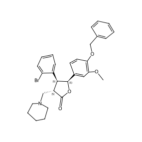 COc1cc([C@H]2OC(=O)[C@H](CN3CCCCC3)[C@H]2c2ccccc2Br)ccc1OCc1ccccc1